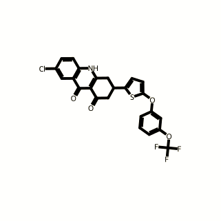 O=C1CC(c2ccc(Oc3cccc(OC(F)(F)F)c3)s2)Cc2[nH]c3ccc(Cl)cc3c(=O)c21